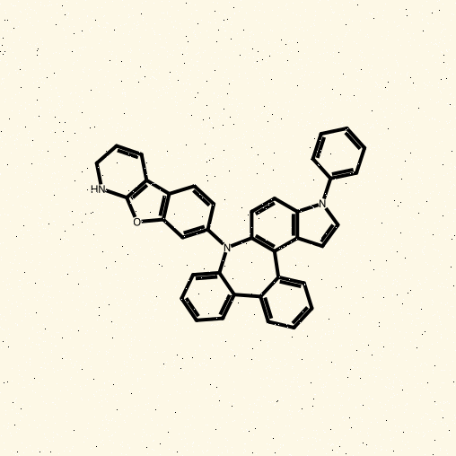 C1=Cc2c(oc3cc(N4c5ccccc5-c5ccccc5-c5c4ccc4c5ccn4-c4ccccc4)ccc23)NC1